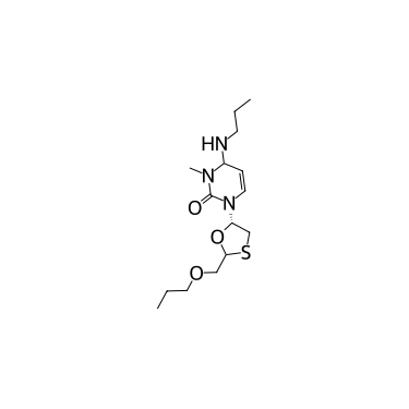 CCCNC1C=CN([C@@H]2CSC(COCCC)O2)C(=O)N1C